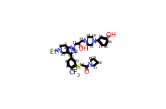 CCN1CCc2c(c(-c3ccc(C(F)(F)F)c(SCC(=O)N4CCCC4)c3)nn2CC(O)CN2CCN(c3cccc(O)c3)CC2)C1